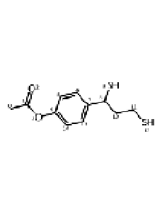 CC(=O)Oc1ccc(C(S)CCS)cc1